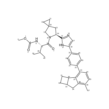 COC(=O)N[C@H](C(=O)N1CC2(CC2)C[C@H]1c1ncc(-c2ccc(-c3ccc(C)c4c3C3CCC3C4)cc2)[nH]1)C(C)C